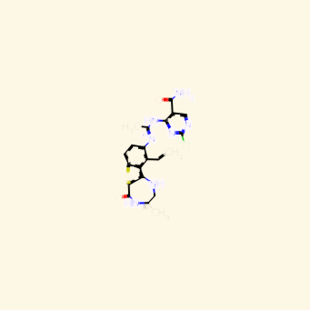 C=Cc1c(/N=C(\C)Nc2nc(Cl)ncc2C(N)=O)ccc2sc3c(c12)NC[C@@H](C)NC3=O